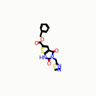 O=C(OCc1ccccc1)c1cc2c(=O)n(Cc3nncs3)c(=O)[nH]c2s1